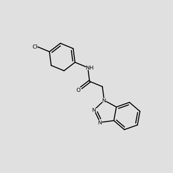 O=C(Cn1nnc2ccccc21)NC1=CC=C(Cl)CC1